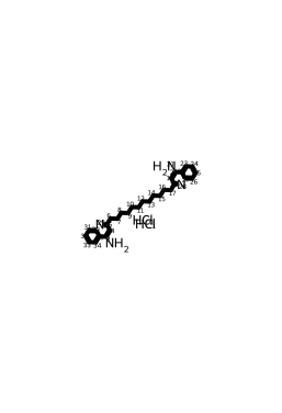 Cl.Cl.Nc1cc(CCCCCCCCCCCCc2cc(N)c3ccccc3n2)nc2ccccc12